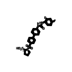 O=C(Nc1ccc(-c2ccc(S(=O)(=O)N3CCC[C@H]3C(=O)O)cc2)cc1)Nc1ccc(F)cc1F